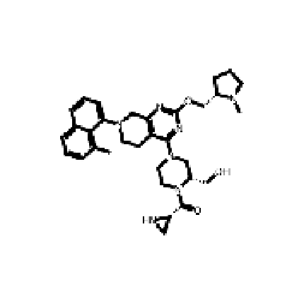 Cc1cccc2cccc(N3CCc4c(nc(OC[C@@H]5CCCN5C)nc4N4CCN(C(=O)[C@@H]5CN5)[C@@H](CO)C4)C3)c12